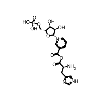 N[C@@H](Cc1c[nH]cn1)C(=O)OC(=O)c1ccc[n+]([C@@H]2O[C@H](COP(=O)(O)O)[C@@H](O)[C@H]2O)c1